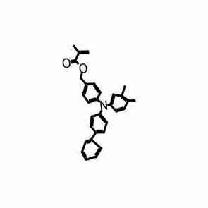 C=C(C)C(=O)OCc1ccc(N(c2ccc(-c3ccccc3)cc2)c2ccc(C)c(C)c2)cc1